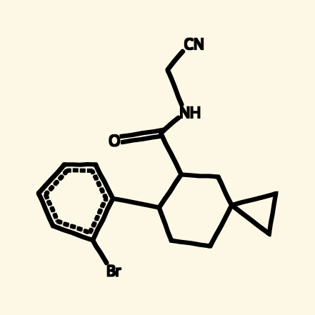 N#CCNC(=O)C1CC2(CCC1c1ccccc1Br)CC2